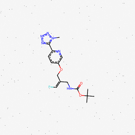 Cn1nnnc1-c1ccc(OC/C(=C\F)CNC(=O)OC(C)(C)C)cn1